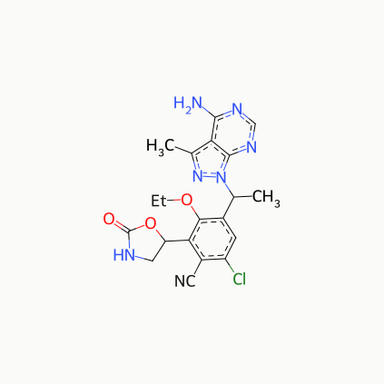 CCOc1c(C(C)n2nc(C)c3c(N)ncnc32)cc(Cl)c(C#N)c1C1CNC(=O)O1